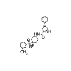 Cc1cccc(S(=O)(=O)[C@]2(F)CC[C@H](NC(=O)[C@@H]3C[C@@H](c4ccccc4)CN3)CC2)c1